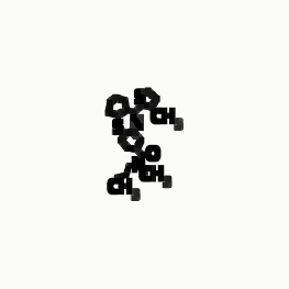 CCCCN(C)C(=O)c1ccc2c(c1)N=C(c1sccc1C)c1ccccc1S2